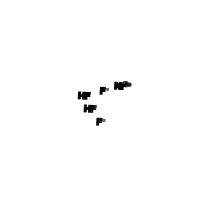 F.F.[F-].[F-].[Ni+2]